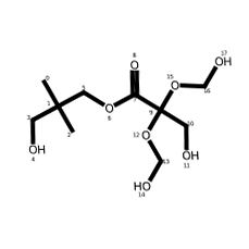 CC(C)(CO)COC(=O)C(CO)(OCO)OCO